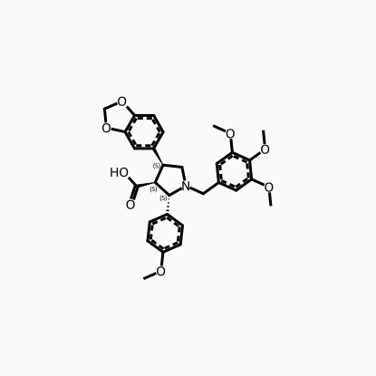 COc1ccc([C@@H]2[C@@H](C(=O)O)[C@@H](c3ccc4c(c3)OCO4)CN2Cc2cc(OC)c(OC)c(OC)c2)cc1